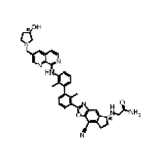 Cc1c(Nc2nccc3cc(CN4CC[C@@H](O)C4)cnc23)cccc1-c1cccc(-c2nc3cc4c(c(C#N)c3o2)CC[C@H]4NCC(N)=O)c1C